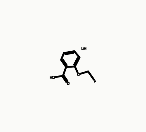 O=C(O)c1ccccc1OCF.[LiH]